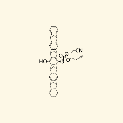 C#CCCOP(=O)(OCCC#N)Oc1c2c(c(O)c3c1C1CC3c3cc4c(cc31)C1CC4C3=CCCCC31)C1CC2c2cc3c(cc21)C1CC3c2ccccc21